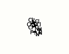 Fc1nnnn1C(Cl)(Cl)C(Cl)(Cl)Cl